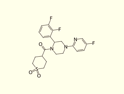 O=C(C1CCS(=O)(=O)CC1)N1CCN(c2ccc(F)cn2)CC1c1cccc(F)c1F